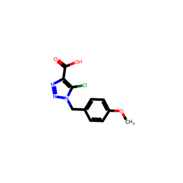 COc1ccc(Cn2nnc(C(=O)O)c2Cl)cc1